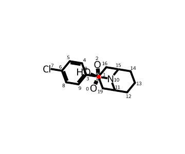 O=S(=O)(c1ccc(Cl)cc1)N1C2CCCC1CC(O)C2